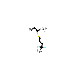 CC(C)CC(SCCCC(F)(F)C(F)(F)F)C(=O)O